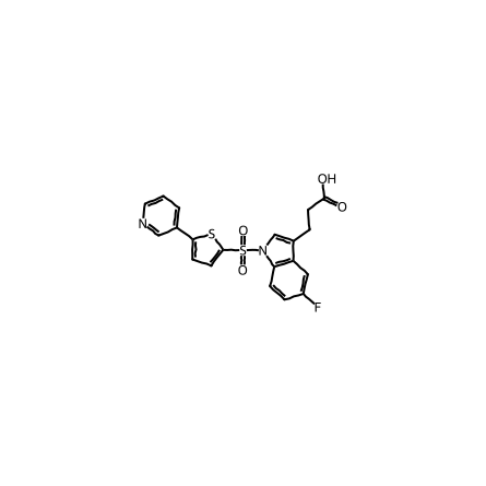 O=C(O)CCc1cn(S(=O)(=O)c2ccc(-c3cccnc3)s2)c2ccc(F)cc12